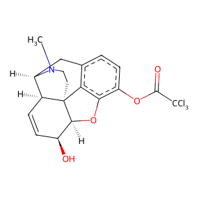 CN1CC[C@]23c4c5ccc(OC(=O)C(Cl)(Cl)Cl)c4O[C@H]2[C@@H](O)C=C[C@H]3[C@H]1C5